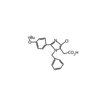 CCCCOc1ccc(-c2nc(Cl)c(CC(=O)O)n2Cc2ccccc2)cc1